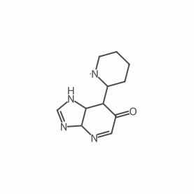 O=C1C=NC2N=CNC2C1C1CCCC[N]1